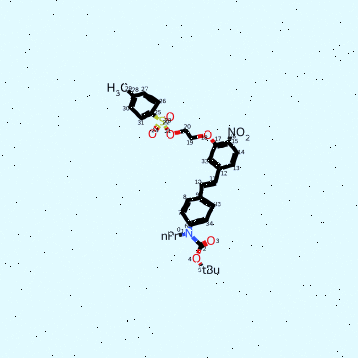 CCCN(C(=O)OC(C)(C)C)c1ccc(/C=C/c2ccc([N+](=O)[O-])c(OCCOS(=O)(=O)c3ccc(C)cc3)c2)cc1